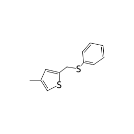 Cc1csc(CSc2ccccc2)c1